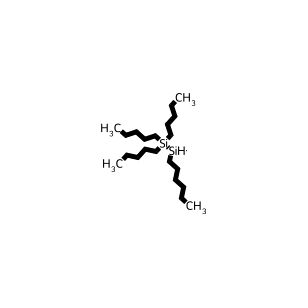 CCCCCC[SiH][Si](CCCCC)(CCCCC)CCCCC